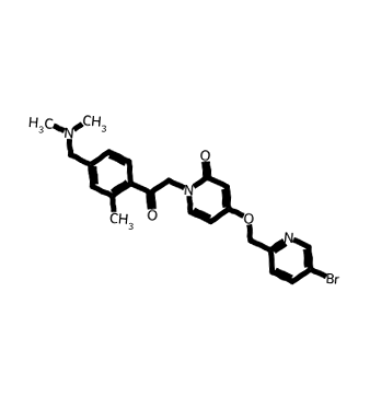 Cc1cc(CN(C)C)ccc1C(=O)Cn1ccc(OCc2ccc(Br)cn2)cc1=O